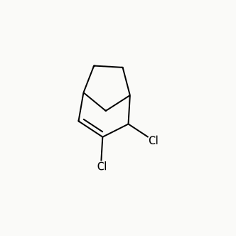 ClC1=CC2CCC(C2)C1Cl